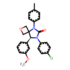 Cc1ccc(N2C(=O)N(c3ccc(Cl)cc3)[C@@H](c3cccc(OC(F)(F)F)c3)C23COC3)cc1